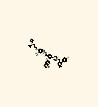 CC1(C)CCC(CN2CCN(c3ccc(C(=O)NS(=O)(=O)c4ccc(NCCCN(C5CCC5)C5CC5)c([N+](=O)[O-])c4)c(Oc4cnc5[nH]ccc5c4)c3)CC2)=C(c2ccc(Cl)cc2)C1